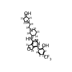 Oc1cc(C(F)(F)F)ccc1-c1nnc(N[C@@H]2CCCN(CCN3CC[C@H](O)C3)C2)c2c1COC2